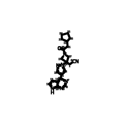 N#CCC1(n2cc(-c3ncnc4[nH]ccc34)cn2)CN(C(=O)CC2CCCC2)C1